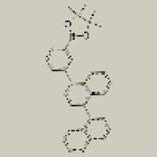 CC1(C)OB(c2cccc(-c3ccc(-c4cccc5ccccc45)c4ccccc34)c2)OC1(C)C